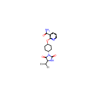 CCC(CC)C1NC(=O)N([C@H]2CC[C@H](Oc3ncccc3C(N)=O)CC2)C1=O